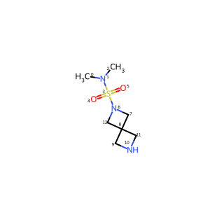 CN(C)S(=O)(=O)N1CC2(CNC2)C1